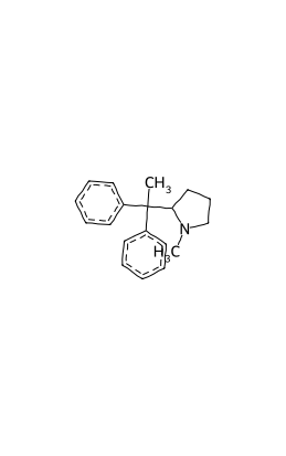 CN1CCCC1C(C)(c1ccccc1)c1ccccc1